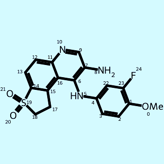 COc1ccc(Nc2c(N)cnc3ccc4c(c23)CCS4(=O)=O)cc1F